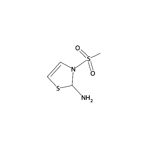 CS(=O)(=O)N1C=CSC1N